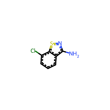 Nc1nsc2c(Cl)cccc12